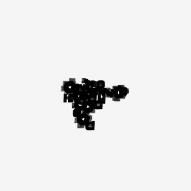 CC(C)[C@H](NC(=O)[C@@H](NC(=O)CC(Oc1ccc(Cl)cc1)c1ccc(Cl)c(Cl)c1)c1ccccc1)C(=O)C(F)(F)C(=O)NCCN1CCOCC1